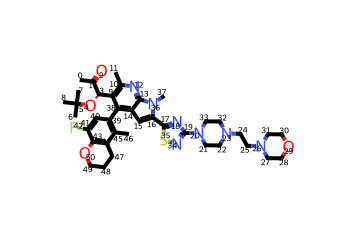 CC(=O)[C@@H](OC(C)(C)C)c1c(C)nc2c(cc(-c3nc(N4CCN(CCN5CCOCC5)CC4)ns3)n2C)c1-c1cc(F)c2c(c1C)CCCO2